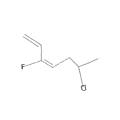 C=C/C(F)=C\CC(C)Cl